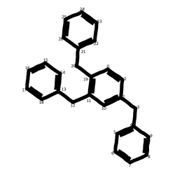 [c]1cc(Cc2ccccc2)cc(Cc2ccccc2)c1Cc1ccccc1